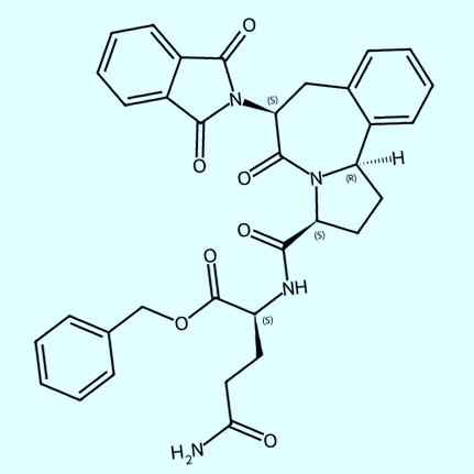 NC(=O)CC[C@H](NC(=O)[C@@H]1CC[C@@H]2c3ccccc3C[C@H](N3C(=O)c4ccccc4C3=O)C(=O)N21)C(=O)OCc1ccccc1